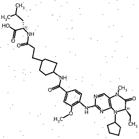 CC[C@@H]1C(=O)N(C)c2cnc(Nc3ccc(C(=O)NC4CCC(CCC(=O)N[C@@H](CC(C)C)C(=O)O)CC4)cc3OC)nc2N1C1CCCC1